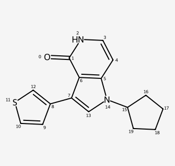 O=c1[nH]ccc2c1c(-c1ccsc1)cn2C1CCCC1